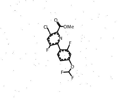 COC(=O)c1nc(-c2ccc(OC(F)F)cc2F)c(F)cc1Cl